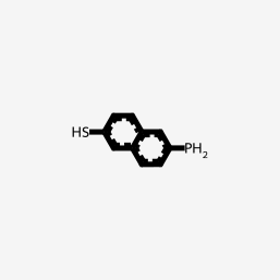 Pc1ccc2cc(S)ccc2c1